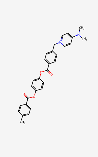 Cc1ccc(C(=O)Oc2ccc(OC(=O)c3ccc(C[n+]4ccc(N(C)C)cc4)cc3)cc2)cc1